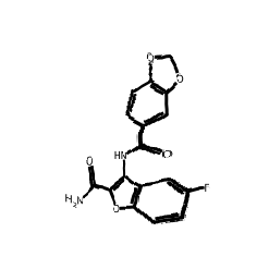 NC(=O)c1oc2ccc(F)cc2c1NC(=O)c1ccc2c(c1)OCO2